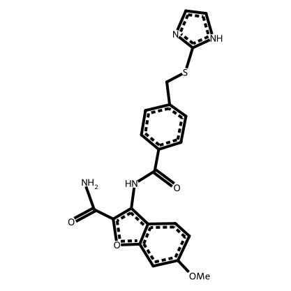 COc1ccc2c(NC(=O)c3ccc(CSc4ncc[nH]4)cc3)c(C(N)=O)oc2c1